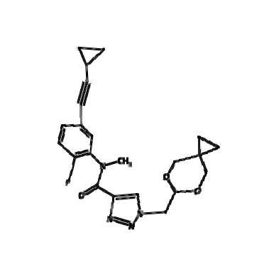 CN(C(=O)c1cn(CC2OCC3(CC3)CO2)nn1)c1cc(C#CC2CC2)ccc1F